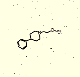 CCOCCN1CCC(c2ccccc2)CC1